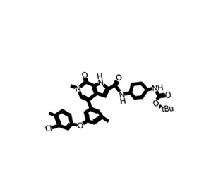 Cc1cc(Oc2ccc(C)c(Cl)c2)cc(-c2cn(C)c(=O)c3[nH]c(C(=O)NC4CCC(NC(=O)OC(C)(C)C)CC4)cc23)c1